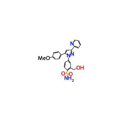 COc1ccc(-c2cc(-c3ccccn3)nn2-c2ccc(S(N)(=O)=O)c(CO)c2)cc1